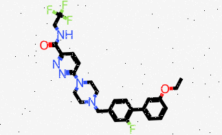 CCOc1cccc(-c2ccc(CN3CCN(c4ccc(C(=O)NCC(F)(F)F)nn4)CC3)cc2F)c1